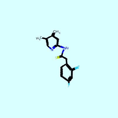 C=C1CC(NC(=S)Cc2ccc(F)cc2F)=NC=C1C